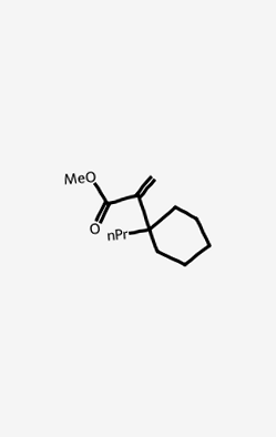 C=C(C(=O)OC)C1(CCC)CCCCC1